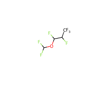 FC(F)OC(F)C(F)C(F)(F)F